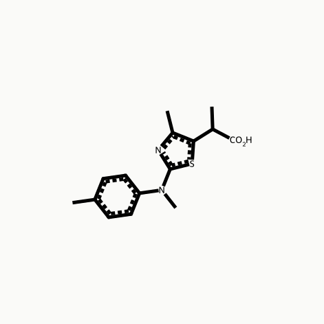 Cc1ccc(N(C)c2nc(C)c(C(C)C(=O)O)s2)cc1